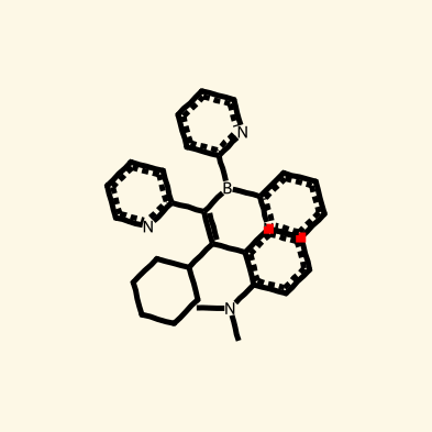 CN(C)c1ccccc1/C(=C(\B(c1ccccn1)c1ccccn1)c1ccccn1)C1CCCCC1